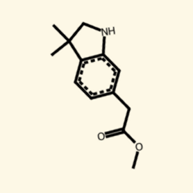 COC(=O)Cc1ccc2c(c1)NCC2(C)C